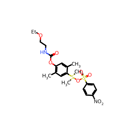 CCOCCNC(=O)Oc1cc(C)c(S(C)(C)OS(=O)(=O)c2ccc([N+](=O)[O-])cc2)cc1C